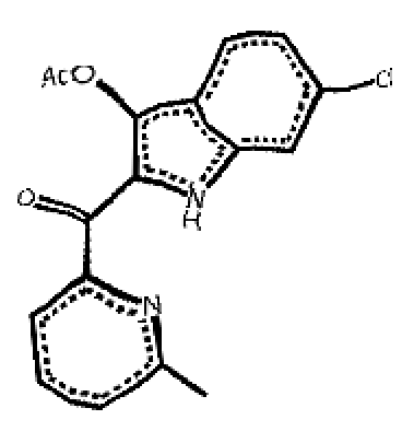 CC(=O)Oc1c(C(=O)c2cccc(C)n2)[nH]c2cc(Cl)ccc12